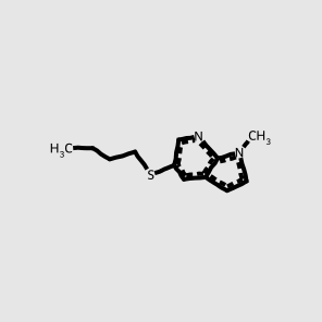 CCCCSc1cnc2c(ccn2C)c1